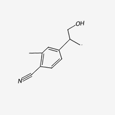 [CH2]C(CO)c1ccc(C#N)c(C)c1